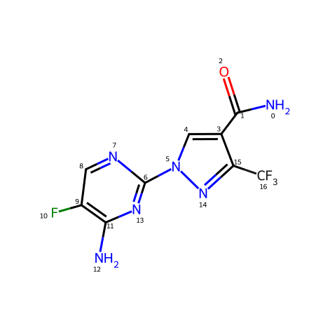 NC(=O)c1cn(-c2ncc(F)c(N)n2)nc1C(F)(F)F